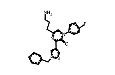 NCCCc1cn(-c2ccc(F)cc2)c(=O)c(-c2cnp(Cc3ccccc3)c2)n1